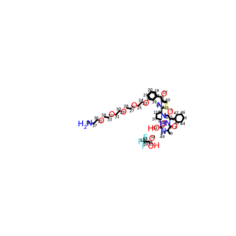 CC(C(=O)NC(C(=O)N1CCC[C@H]1c1nc(C(=O)c2cccc(OCCOCCOCCOCCOCCN)c2)cs1)C1CCCCC1)N(C)C(=O)O.O=C(O)C(F)(F)F